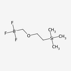 C[Si](C)(C)CCOC[B-](F)(F)F